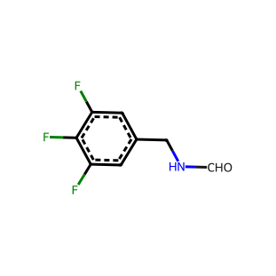 O=CNCc1cc(F)c(F)c(F)c1